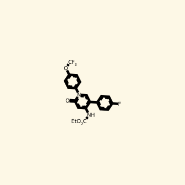 CCOC(=O)Nc1cc(=O)n(-c2ccc(OC(F)(F)F)cc2)cc1-c1ccc(F)cc1